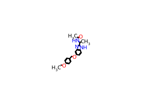 CCOc1ccc(COc2ccc3[nH]c(C(C)NC(C)=O)nc3c2)cc1